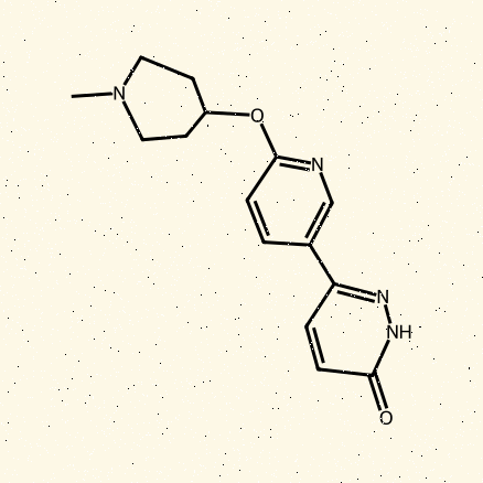 CN1CCC(Oc2ccc(-c3ccc(=O)[nH]n3)cn2)CC1